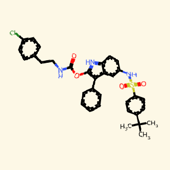 CC(C)(C)c1ccc(S(=O)(=O)Nc2ccc3[nH]c(OC(=O)NCCc4ccc(Cl)cc4)c(-c4ccccc4)c3c2)cc1